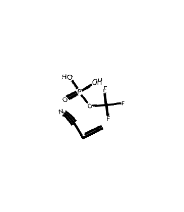 C=CC#N.O=P(O)(O)OC(F)(F)F